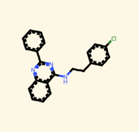 Clc1ccc(CCNc2nc(-c3ccccc3)nc3ccccc23)cc1